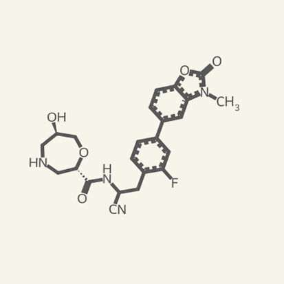 Cn1c(=O)oc2ccc(-c3ccc(CC(C#N)NC(=O)[C@@H]4CNC[C@@H](O)CO4)c(F)c3)cc21